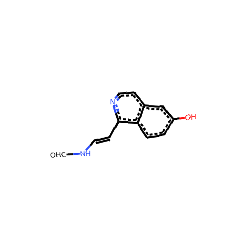 O=CNC=Cc1nccc2cc(O)ccc12